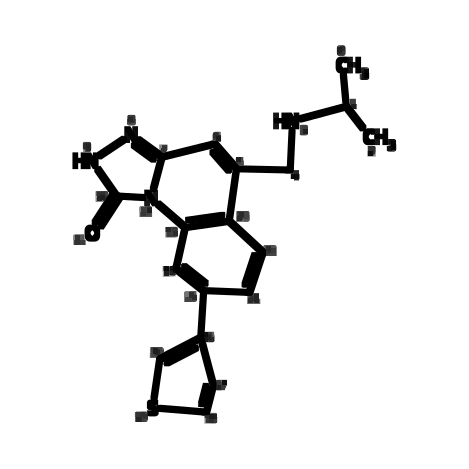 CC(C)NCc1cc2n[nH]c(=O)n2c2cc(-c3ccsc3)ccc12